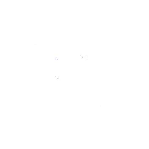 CC1CCC(C(N)c2nc3c(F)cccc3[nH]2)CC1